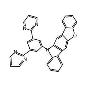 c1cnc(-c2cc(-c3ncccn3)cc(-n3c4ccccc4c4cc5oc6ccccc6c5cc43)c2)nc1